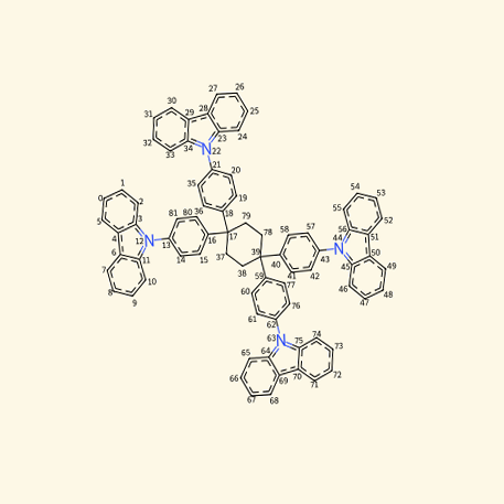 c1ccc2c(c1)c1ccccc1n2-c1ccc(C2(c3ccc(-n4c5ccccc5c5ccccc54)cc3)CCC(c3ccc(-n4c5ccccc5c5ccccc54)cc3)(c3ccc(-n4c5ccccc5c5ccccc54)cc3)CC2)cc1